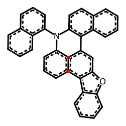 c1ccc(N(c2ccc3ccccc3c2-c2ccc3c(c2)oc2ccccc23)c2cccc3ccccc23)cc1